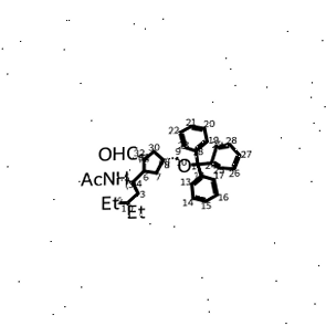 CCC(CC)C[C@H](NC(C)=O)C1C[C@@H](COC(c2ccccc2)(c2ccccc2)c2ccccc2)C[C@H]1C=O